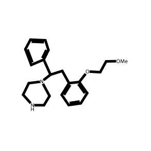 COCCOc1ccccc1CC(c1ccccc1)N1CCNCC1